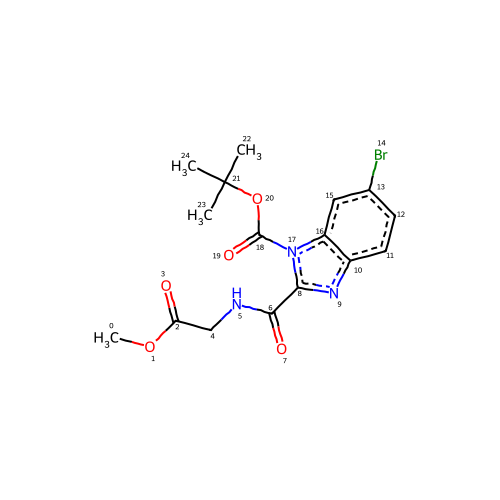 COC(=O)CNC(=O)c1nc2ccc(Br)cc2n1C(=O)OC(C)(C)C